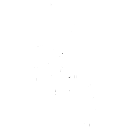 O=c1oc2ccc(O)cc2cc1COC1[C@@H](O)C(CO)O[C@@H](S[C@@H]2OC(CO)[C@H](O)C(OCc3cc4cc(O)ccc4oc3=O)[C@@H]2O)[C@@H]1O